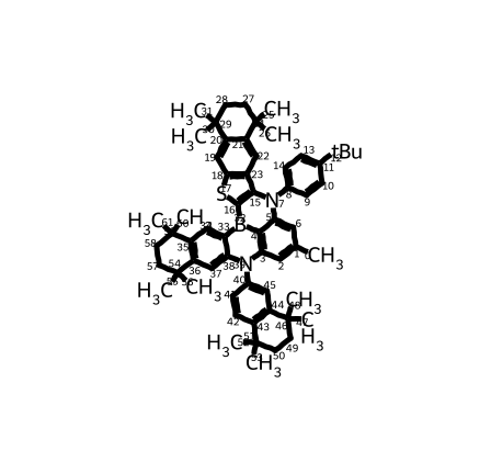 Cc1cc2c3c(c1)N(c1ccc(C(C)(C)C)cc1)c1c(sc4cc5c(cc14)C(C)(C)CCC5(C)C)B3c1cc3c(cc1N2c1ccc2c(c1)C(C)(C)CCC2(C)C)C(C)(C)CCC3(C)C